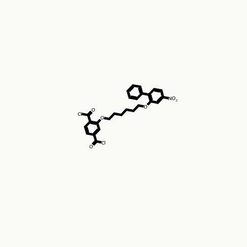 O=C(Cl)c1ccc(C(=O)Cl)c(OCCCCCCOc2cc([N+](=O)[O-])ccc2-c2ccccc2)c1